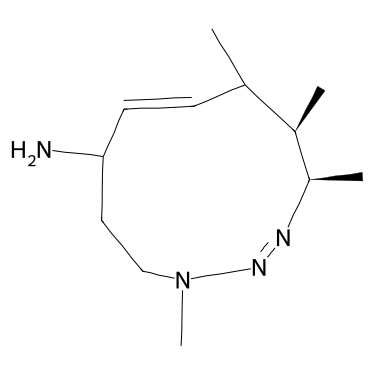 CC1/C=C/C(N)CCN(C)/N=N\[C@H](C)[C@@H]1C